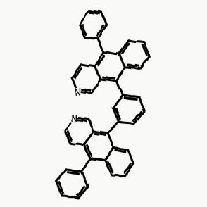 c1ccc(-c2c3ccccc3c(-c3cccc(-c4c5ccccc5c(-c5ccccc5)c5ccncc45)c3)c3cnccc23)cc1